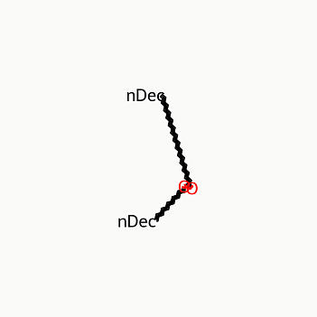 CCCCCCCCCCCCCCCCCCCCCCCCCCCCCCCCCC(=O)OCCCCCCCCCCCCCCCCCCCCC